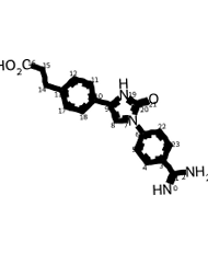 N=C(N)c1ccc(-n2cc(-c3ccc(CCC(=O)O)cc3)[nH]c2=O)cc1